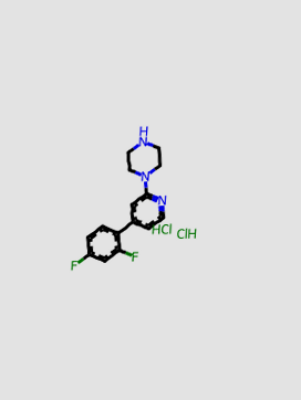 Cl.Cl.Fc1ccc(-c2ccnc(N3CCNCC3)c2)c(F)c1